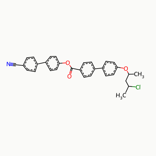 CC(Cl)CC(C)Oc1ccc(-c2ccc(C(=O)Oc3ccc(-c4ccc(C#N)cc4)cc3)cc2)cc1